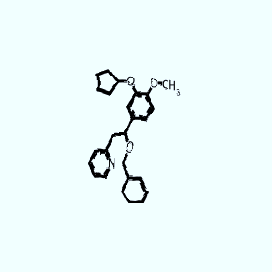 COc1ccc(C(Cc2ccccn2)OCC2CCCCC2)cc1OC1CCCC1